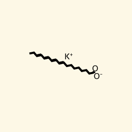 CCC=CC=CC=CC=CCCCCCCCC(=O)[O-].[K+]